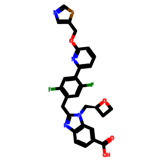 O=C(O)c1ccc2nc(Cc3cc(F)c(-c4cccc(OCc5cncs5)n4)cc3F)n(C[C@@H]3CCO3)c2c1